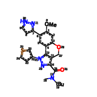 COc1cc2c(cc1-c1cc[nH]n1)-c1c(c(C(=O)N(C)C(C)(C)C)nn1-c1ccsc1)CO2